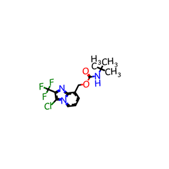 CC(C)(C)NC(=O)OCc1cccn2c(Cl)c(C(F)(F)F)nc12